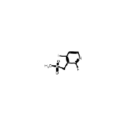 [CH2]S(=O)(=O)Cc1c(F)ccnc1F